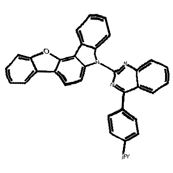 CC(C)c1ccc(-c2nc(-n3c4ccccc4c4c5oc6ccccc6c5ccc43)nc3ccccc23)cc1